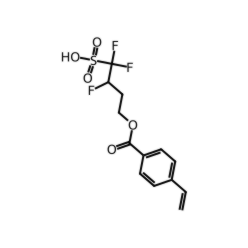 C=Cc1ccc(C(=O)OCCC(F)C(F)(F)S(=O)(=O)O)cc1